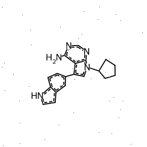 Nc1ncnc2c1c(-c1ccc3[nH]ccc3c1)cn2C1CCCC1